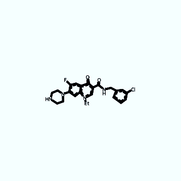 CCn1cc(C(=O)NCc2cccc(Cl)c2)c(=O)c2cc(F)c(N3CCNCC3)cc21